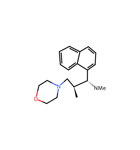 [CH2-][NH2+][C@@H](c1cccc2ccccc12)[C@@H](C)CN1CCOCC1